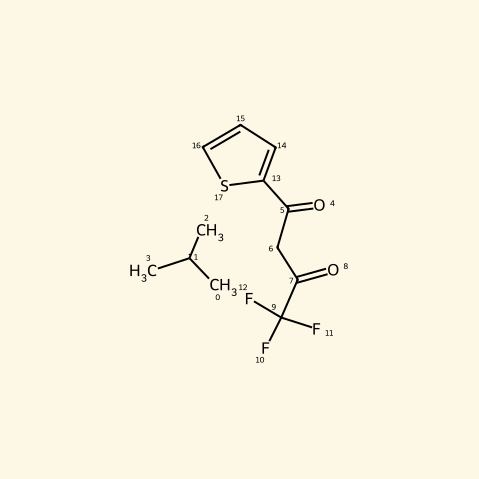 C[C](C)C.O=C(CC(=O)C(F)(F)F)c1cccs1